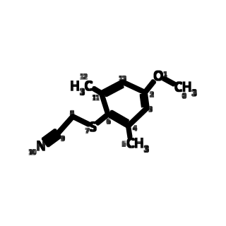 COc1cc(C)c(SCC#N)c(C)c1